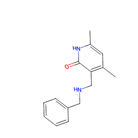 Cc1cc(C)c(CNCc2ccccc2)c(=O)[nH]1